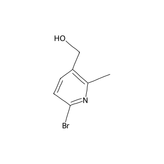 Cc1nc(Br)ccc1CO